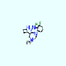 CC(C)N1CCN([C@H]2CCCC(F)(F)[C@@H]2N)CC(C2CCC2)C1